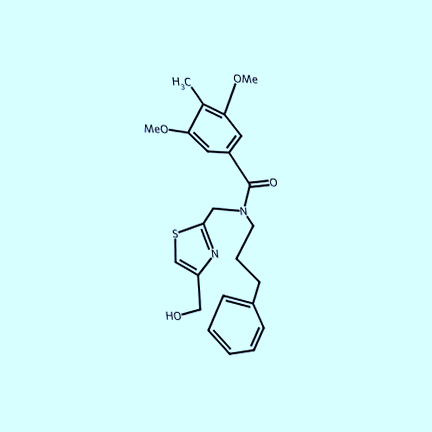 COc1cc(C(=O)N(CCCc2ccccc2)Cc2nc(CO)cs2)cc(OC)c1C